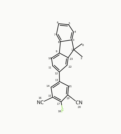 CC1(C)c2ccccc2-c2ccc(-c3cc(C#N)c(F)c(C#N)c3)cc21